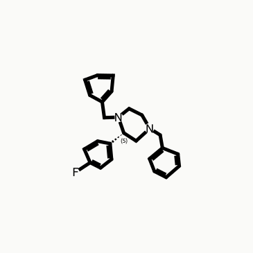 Fc1ccc([C@H]2CN(Cc3ccccc3)CCN2Cc2ccccc2)cc1